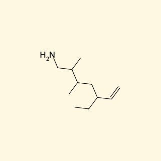 C=CC(CC)CC(C)C(C)CN